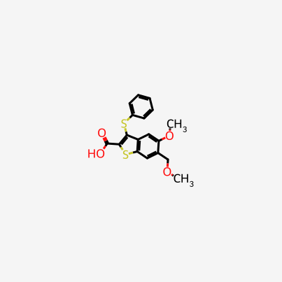 COCc1cc2sc(C(=O)O)c(Sc3ccccc3)c2cc1OC